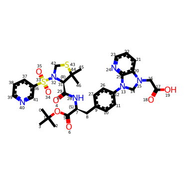 CC(C)(C)OC(=O)[C@H](Cc1ccc(N2CN(CC(=O)O)c3cccnc32)cc1)NC(=O)[C@H]1N(S(=O)(=O)c2cccnc2)CSC1(C)C